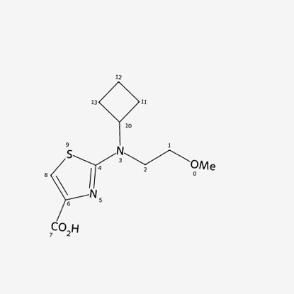 COCCN(c1nc(C(=O)O)cs1)C1CCC1